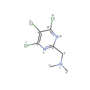 CN(C)Cc1nc(Cl)c(Cl)c(Cl)n1